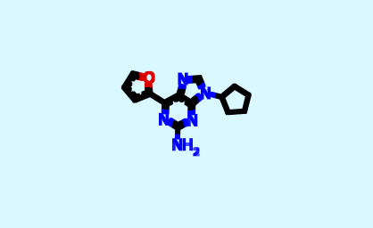 Nc1nc(-c2ccco2)c2ncn(C3CCCC3)c2n1